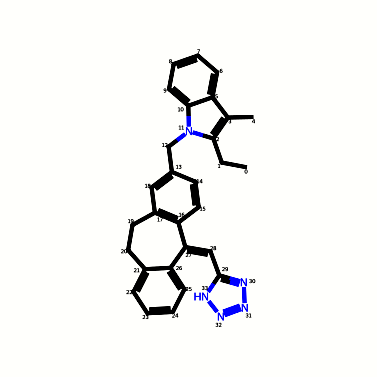 CCc1c(C)c2ccccc2n1Cc1ccc2c(c1)CCc1ccccc1/C2=C\c1nnn[nH]1